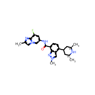 Cc1cn2cc(NC(=O)c3ccc(C4C[C@@H](C)N[C@H](C)C4)c4cn(C)nc34)cc(F)c2n1